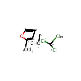 CC=O.ClC(Cl)(Cl)c1ccco1.ClC(Cl)Cl